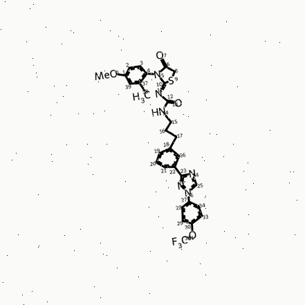 COc1ccc(N2C(=O)CSC2=NC(=O)NCCCc2cccc(-c3ncn(-c4ccc(OC(F)(F)F)cc4)n3)c2)c(C)c1